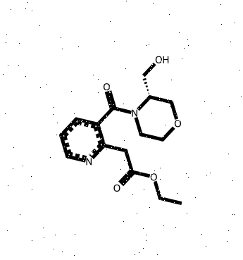 CCOC(=O)Cc1ncccc1C(=O)N1CCOC[C@H]1CO